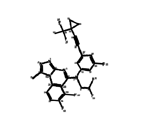 Cc1nnc2nc(N(CC(F)F)c3cc(F)cc(C#CC4(C(C)(F)F)CC4)c3)c3c(F)c(F)ccc3n12